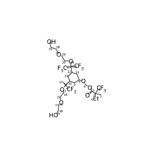 CCC(C)(C(=O)OCOC1CC(C(C)(OCCOCCO)C(F)(F)F)CC(C(OCCOCCO)(C(F)(F)F)C(F)(F)F)C1)C(F)(F)F